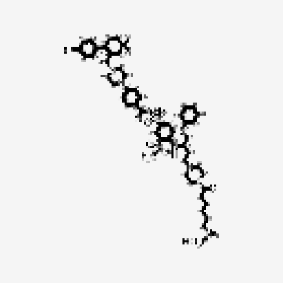 CN(CCCCCC(=O)N1CCN(CCC(CSc2ccccc2)Nc2ccc(S(=O)(=O)NC(=O)c3ccc(N4CCN(CC5=C(c6ccc(Cl)cc6)CCC(C)(C)C5)CC4)cc3)cc2S(=O)(=O)C(F)(F)F)CC1)C(=O)O